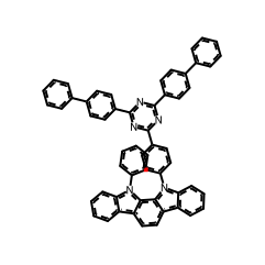 c1ccc(-c2ccc(-c3nc(-c4ccc(-c5ccccc5)cc4)nc(-c4ccc(-n5c6ccccc6c6ccc7c8ccccc8n(-c8ccccc8)c7c65)cc4)n3)cc2)cc1